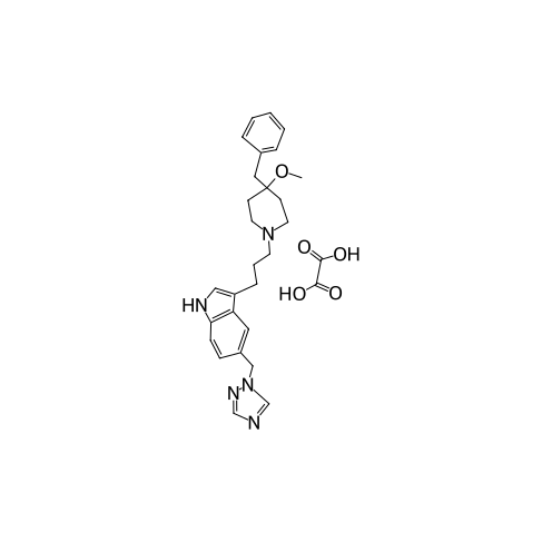 COC1(Cc2ccccc2)CCN(CCCc2c[nH]c3ccc(Cn4cncn4)cc23)CC1.O=C(O)C(=O)O